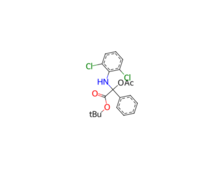 CC(=O)OC(Nc1c(Cl)cccc1Cl)(C(=O)OC(C)(C)C)c1ccccc1